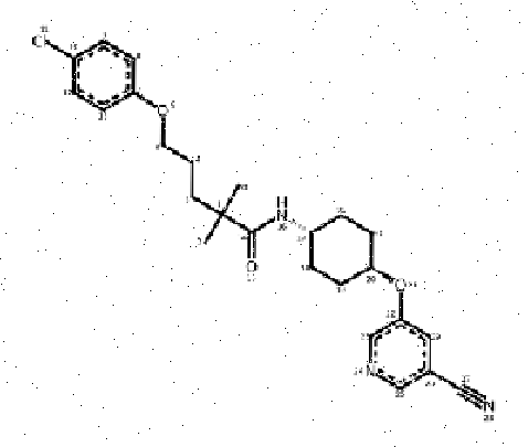 CC(C)(CCCOc1ccc(Cl)cc1)C(=O)N[C@H]1CC[C@H](Oc2cncc(C#N)c2)CC1